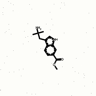 COC(=O)c1ccc2c(CC(C)(C)N)c[nH]c2c1